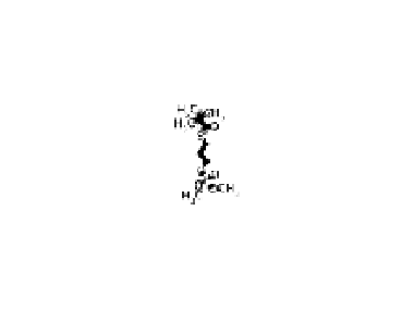 COP(=O)(OC)OCCCSC(=O)C(C)(C)C